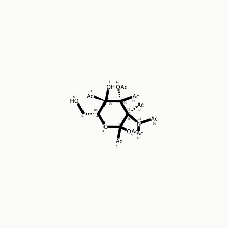 CC(=O)OC1(C(C)=O)O[C@H](CO)[C@@](O)(C(C)=O)[C@@](OC(C)=O)(C(C)=O)[C@@]1(C(C)=O)N(C(C)=O)C(C)=O